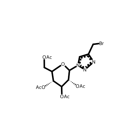 CC(=O)OCC1OC(n2cc(CBr)nn2)[C@H](OC(C)=O)C(OC(C)=O)[C@@H]1OC(C)=O